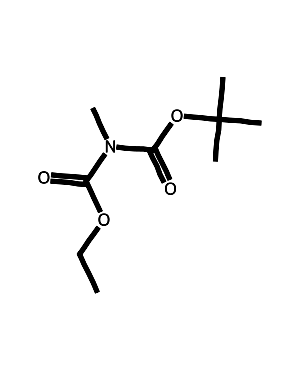 CCOC(=O)N(C)C(=O)OC(C)(C)C